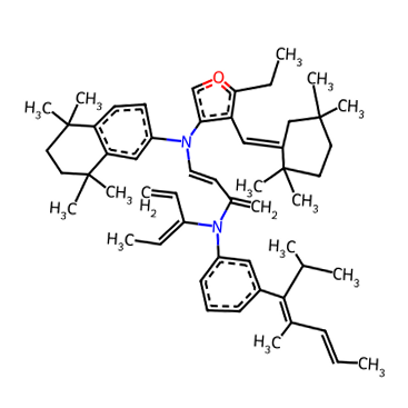 C=C/C(=C\C)N(C(=C)/C=C/N(c1ccc2c(c1)C(C)(C)CCC2(C)C)c1coc(CC)c1/C=C1\CC(C)(C)CCC1(C)C)c1cccc(/C(=C(C)/C=C/C)C(C)C)c1